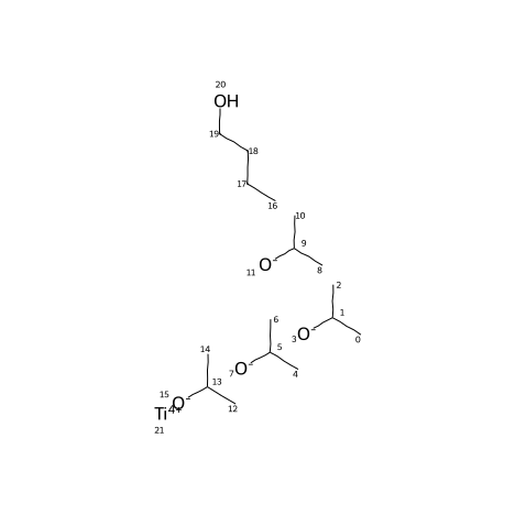 CC(C)[O-].CC(C)[O-].CC(C)[O-].CC(C)[O-].CCCCO.[Ti+4]